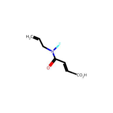 C=CCN(F)C(=O)C=CC(=O)O